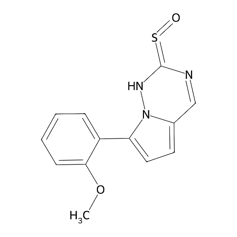 COc1ccccc1-c1ccc2cnc(=S=O)[nH]n12